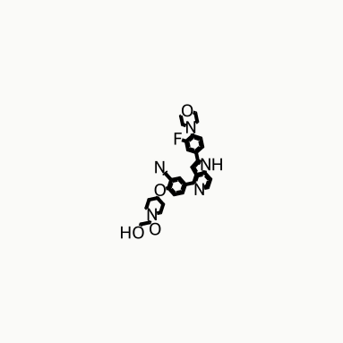 N#Cc1cc(-c2nccc3[nH]c(-c4ccc(N5CCOCC5)c(F)c4)cc23)ccc1OC1CCN(C(=O)CO)CC1